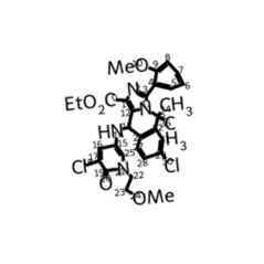 CCOC(=O)c1nc(-c2ccccc2OC)n2c1C(Nc1cc(Cl)c(=O)n(CCOC)c1)c1ccc(Cl)cc1C2(C)C